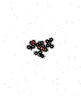 c1ccc(-c2cc(N(c3ccccc3)c3cccc4c3-c3cc(N(c5ccccc5)c5cc(-c6cccc7c6oc6ccccc67)c6sc7ccccc7c6c5)ccc3C43c4ccccc4Oc4cc(N(c5ccccc5)c5ccc6sc7ccccc7c6c5-c5ccccc5)ccc43)cc3c2oc2ccccc23)cc1